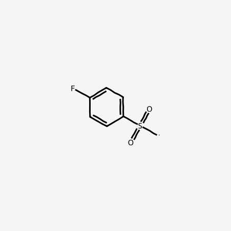 [CH2]S(=O)(=O)c1ccc(F)cc1